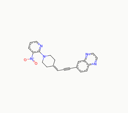 O=[N+]([O-])c1cccnc1N1CCC(=CC#Cc2ccc3nccnc3c2)CC1